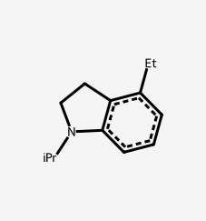 CCc1cccc2c1CCN2C(C)C